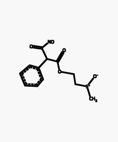 C[S+]([O-])CCOC(=O)C(C(=O)N=O)c1ccccc1